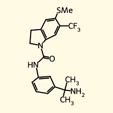 CSc1cc2c(cc1C(F)(F)F)N(C(=O)Nc1cccc(C(C)(C)N)c1)CC2